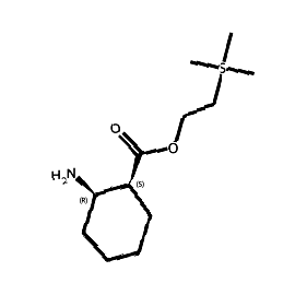 CS(C)(C)CCOC(=O)[C@H]1CCCC[C@H]1N